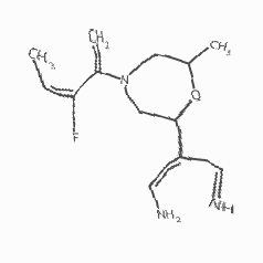 C=C(/C(F)=C\C)N1CC(C)OC(/C(C=N)=C/N)C1